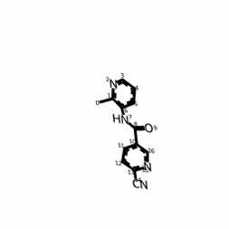 Cc1ncccc1NC(=O)c1ccc(C#N)nc1